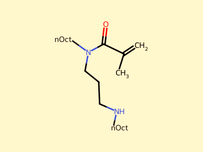 C=C(C)C(=O)N(CCCCCCCC)CCCNCCCCCCCC